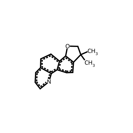 CC1(C)COc2c1ccc1c2ccc2cccnc21